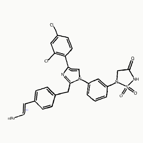 CCCC/C=C/c1ccc(Cc2nc(-c3ccc(Cl)cc3Cl)cn2-c2cccc(N3CC(=O)NS3(=O)=O)c2)cc1